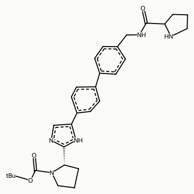 CC(C)(C)OC(=O)N1CCC[C@H]1c1ncc(-c2ccc(-c3ccc(CNC(=O)C4CCCN4)cc3)cc2)[nH]1